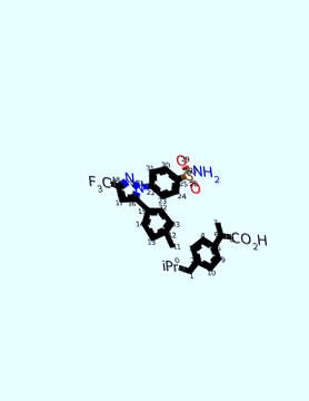 CC(C)Cc1ccc(C(C)C(=O)O)cc1.Cc1ccc(-c2cc(C(F)(F)F)nn2-c2ccc(S(N)(=O)=O)cc2)cc1